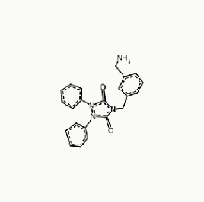 NCc1cccc(Cn2c(=O)n(-c3ccccc3)n(-c3ccccc3)c2=O)c1